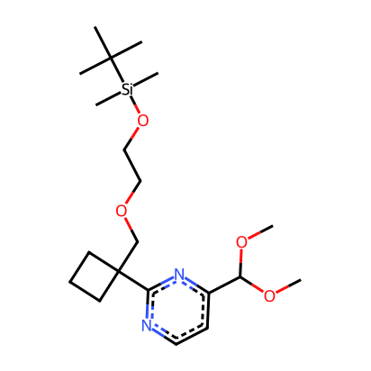 COC(OC)c1ccnc(C2(COCCO[Si](C)(C)C(C)(C)C)CCC2)n1